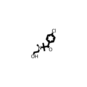 CN(CCO)C(C)(C)C(=O)c1ccc(Cl)cc1